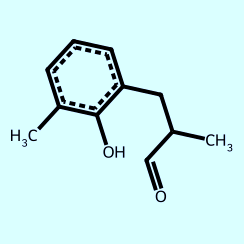 Cc1cccc(CC(C)C=O)c1O